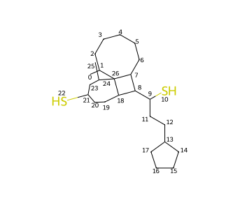 CC1CCCCCC2C(C(S)CCC3CCCC3)C3CCC(S)CC(C)C123